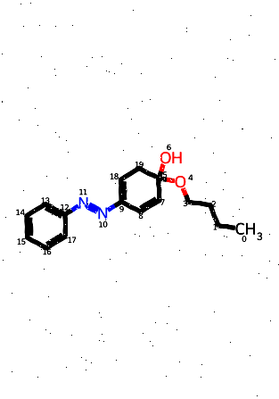 CCCCOC1(O)C=CC(N=Nc2ccccc2)=CC1